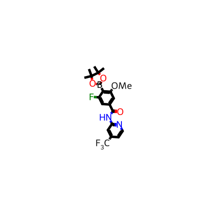 COc1cc(C(=O)Nc2cc(C(F)(F)F)ccn2)cc(F)c1B1OC(C)(C)C(C)(C)O1